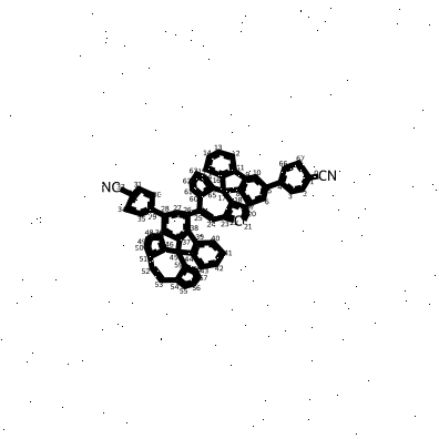 N#Cc1ccc(-c2ccc3c(c2)-c2ccccc2C32c3ccccc3C=C(c3cc(-c4ccc(C#N)cc4)cc4c3-c3ccccc3C43c4ccccc4C=Cc4ccccc43)c3ccccc32)cc1